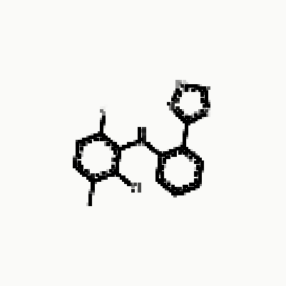 Cc1ccc(Cl)c(Nc2ccccc2-c2nn[c]s2)c1Cl